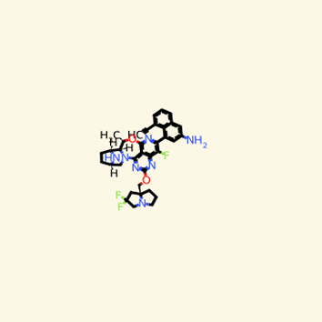 C#Cc1cccc2cc(N)cc(-c3nc4c5c(nc(OC[C@@]67CCCN6CC(F)(F)C7)nc5c3F)N3C[C@H]5CC[C@H](N5)[C@H]3[C@H](C)O4)c12